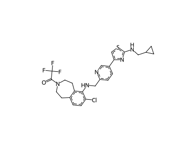 O=C(N1CCc2ccc(Cl)c(NCc3ccc(-c4csc(NCC5CC5)n4)cn3)c2CC1)C(F)(F)F